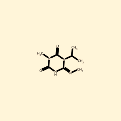 C/N=c1/[nH]c(=O)n(C)c(=O)n1C(C)C